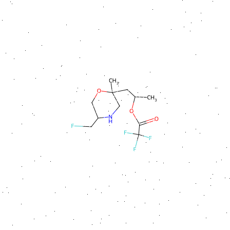 CC(CC1(C)CNC(CF)CO1)OC(=O)C(F)(F)F